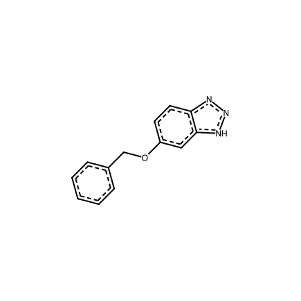 c1ccc(COc2ccc3nn[nH]c3c2)cc1